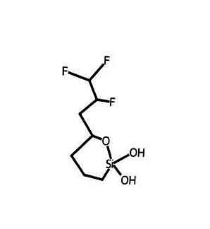 O[Si]1(O)CCCC(CC(F)C(F)F)O1